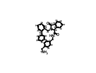 NCc1ccc(CNC(=O)C2c3ccccc3C(=O)N2Cc2ccccc2-c2ccccc2)cc1